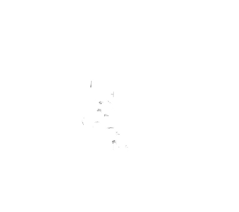 C=C(CC[C@@H](C(=O)O)[C@H]1C[C@H](OC(C)=O)C2C3=C(CC[C@@]21C)[C@@]1(C)CC[C@H](O)C(C)(C)[C@@H]1CC3)C(C)C